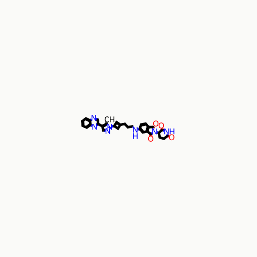 Cc1c(-c2cnc3ccccc3n2)cnn1C1CC(CCCNc2ccc3c(c2)C(=O)N(C2CCC(=O)NC2=O)C3=O)C1